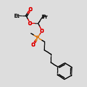 CCC(=O)OC(OP(C)(=O)CCCCc1ccccc1)C(C)C